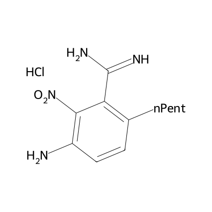 CCCCCc1ccc(N)c([N+](=O)[O-])c1C(=N)N.Cl